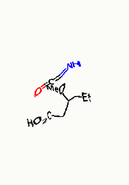 CCC(CC(=O)O)OC.N=C=O